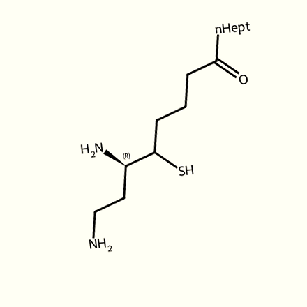 CCCCCCCC(=O)CCCC(S)[C@H](N)CCN